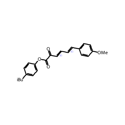 CCC(C)c1ccc(OC(=O)C(=O)/C=C/C=C/c2ccc(OC)cc2)cc1